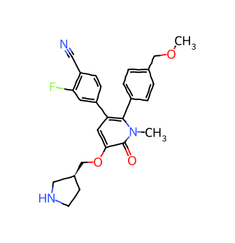 COCc1ccc(-c2c(-c3ccc(C#N)c(F)c3)cc(OC[C@H]3CCNC3)c(=O)n2C)cc1